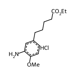 CCOC(=O)CCCCc1ccc(OC)c(N)c1.Cl